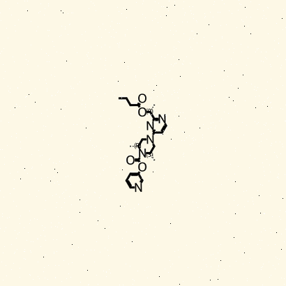 CCCC(=O)O[C@H](C)c1nccc(N2C[C@@H](C)N(C(=O)Oc3cccnc3)[C@@H](C)C2)n1